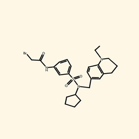 CCN1CCCc2cc(CN(C3CCCC3)S(=O)(=O)c3cccc(NC(=O)CBr)c3)ccc21